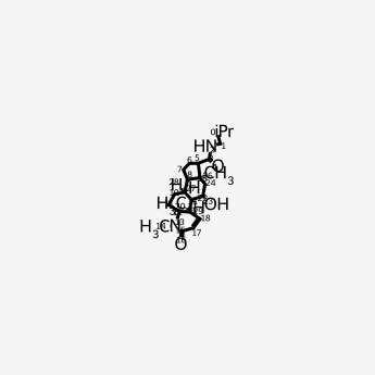 CC(C)CNC(=O)C1CC[C@H]2[C@@H]3CCC4N(C)C(=O)C=C[C@]4(C)[C@@H]3C(O)C[C@]12C